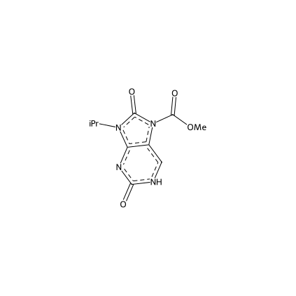 COC(=O)n1c(=O)n(C(C)C)c2nc(=O)[nH]cc21